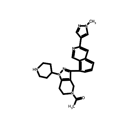 CC(=O)N1CCc2c(c(-c3cccc4cc(-c5cnn(C)c5)ncc34)nn2C2CCNCC2)C1